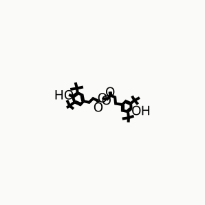 CC(C)(C)c1cc(CCC(=O)OOC(=O)CCc2cc(C(C)(C)C)c(O)c(C(C)(C)C)c2)cc(C(C)(C)C)c1O